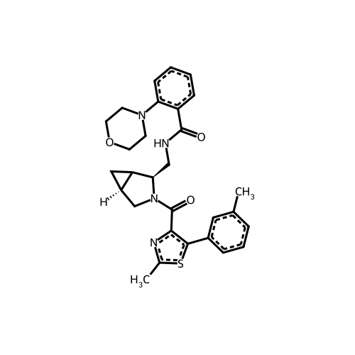 Cc1cccc(-c2sc(C)nc2C(=O)N2C[C@H]3CC3[C@H]2CNC(=O)c2ccccc2N2CCOCC2)c1